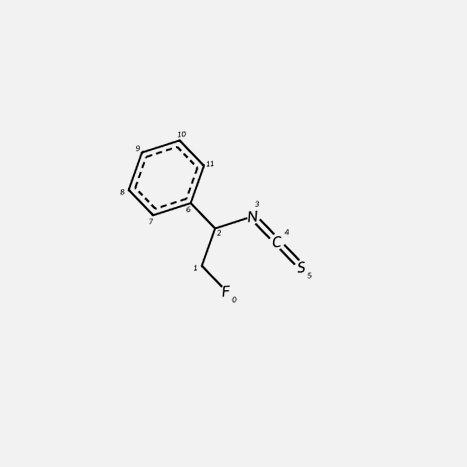 FCC(N=C=S)c1ccccc1